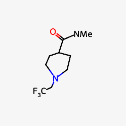 CNC(=O)C1CCN(CC(F)(F)F)CC1